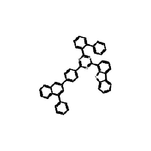 c1ccc(-c2ccccc2-c2nc(-c3ccc(-c4cc(-c5ccccc5)c5ccccc5c4)cc3)nc(-c3cccc4c3sc3ccccc34)n2)cc1